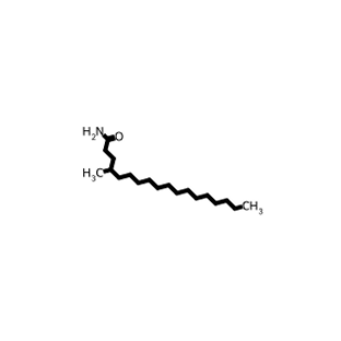 CCCCCCCCCCCCCCC(C)CCC(N)=O